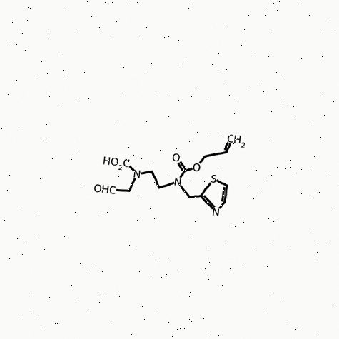 C=CCOC(=O)N(CCN(CC=O)C(=O)O)Cc1nccs1